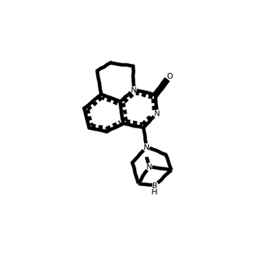 CN1C2BC1CN(c1nc(=O)n3c4c(cccc14)CCC3)C2